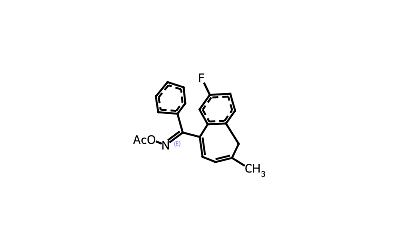 CC(=O)O/N=C(/C1=CC=C(C)Cc2ccc(F)cc21)c1ccccc1